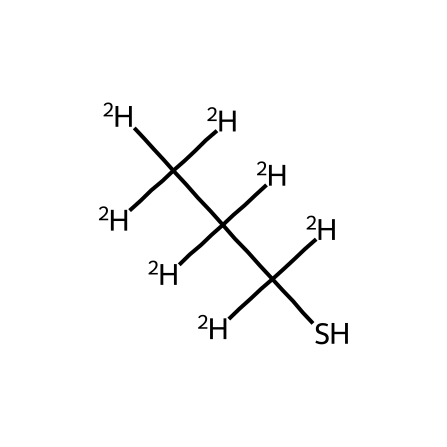 [2H]C([2H])([2H])C([2H])([2H])C([2H])([2H])S